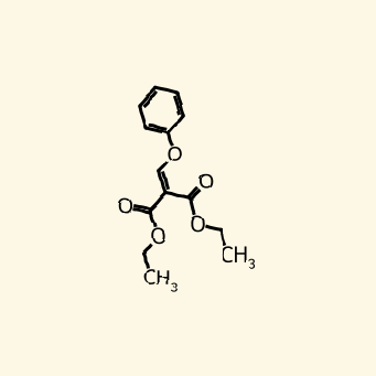 CCOC(=O)C(=COc1ccccc1)C(=O)OCC